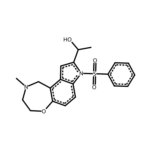 CC(O)c1cc2c3c(ccc2n1S(=O)(=O)c1ccccc1)OCCN(C)C3